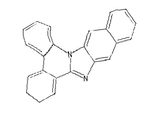 C1=c2c(c3nc4cc5ccccc5cc4n3c3ccccc23)=CCC1